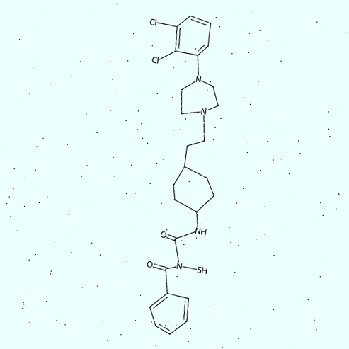 O=C(NC1CCC(CCN2CCN(c3cccc(Cl)c3Cl)CC2)CC1)N(S)C(=O)c1ccccc1